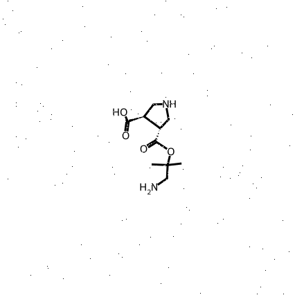 CC(C)(CN)OC(=O)[C@H]1CNC[C@@H]1C(=O)O